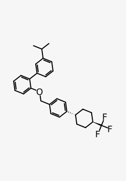 CC(C)c1cccc(-c2ccccc2OCc2ccc([C@H]3CC[C@H](C(F)(F)F)CC3)cc2)c1